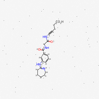 O=C(O)CCC#CNC(=O)CNC(=O)c1cccc(NC2=NCCCCC2)c1